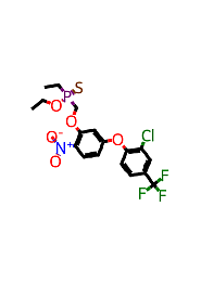 CCOP(=S)(CC)COc1cc(Oc2ccc(C(F)(F)F)cc2Cl)ccc1[N+](=O)[O-]